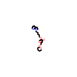 O=c1cc(COC2CCCCO2)occ1OCCCCCn1ccc2cccnc21